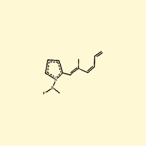 C=C/C=C\C(C)=C\c1cccn1B(C)F